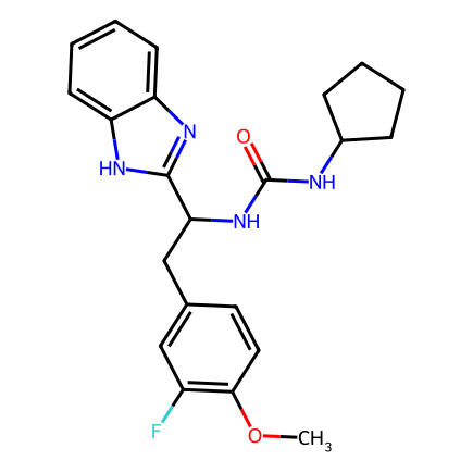 COc1ccc(CC(NC(=O)NC2CCCC2)c2nc3ccccc3[nH]2)cc1F